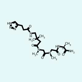 C[C@H](NC(=O)CN(C)C(=O)CN(C)C(=O)CC(C)(C)CNC(=O)CCc1c[nH]nn1)C(N)=O